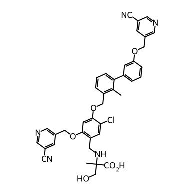 Cc1c(COc2cc(OCc3cncc(C#N)c3)c(CNC(C)(CO)C(=O)O)cc2Cl)cccc1-c1cccc(OCc2cncc(C#N)c2)c1